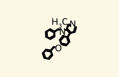 Cc1nccc2c3ccc(OCc4ccccc4)cc3n(Cc3ccccc3)c12